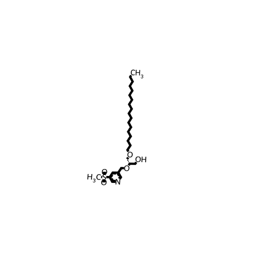 CCCCCCCCCCCCCCCCCCOC[C@H](CO)OCc1cncc(S(C)(=O)=O)c1